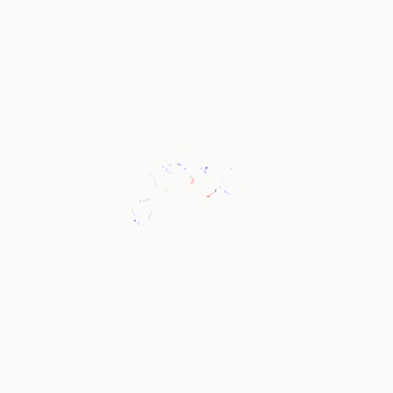 CC(C)(C)c1cc(-c2cnc(NC(=O)N3CCC[C@H]3C(N)=O)s2)ccn1